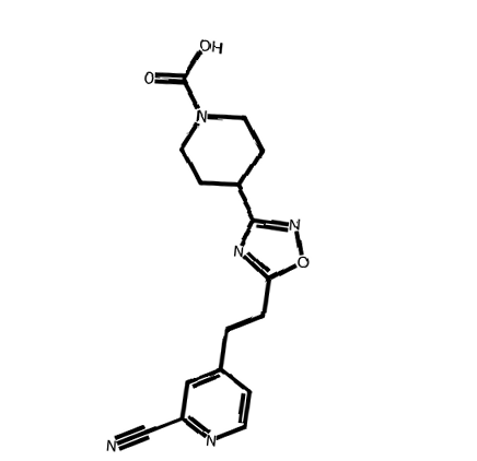 N#Cc1cc(CCc2nc(C3CCN(C(=O)O)CC3)no2)ccn1